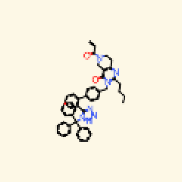 C=CC(=O)N1CCc2nc(CCCC)n(Cc3ccc(-c4ccccc4-c4nnnn4C(c4ccccc4)(c4ccccc4)c4ccccc4)cc3)c(=O)c2C1